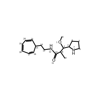 COC(C1CCCN1)C(C)C(=O)NCCC1C=CC=CC=C1